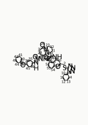 O=C(CSc1nnnn1-c1ccccc1)CC(NC(=O)[C@@H]1CCCN2C(=O)CCC(NC(=O)Nc3ccc(Oc4ccccc4)cc3)C(=O)N12)c1ccccc1